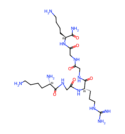 N=C(N)NCCC[C@H](NC(=O)CNC(=O)[C@@H](N)CCCCN)C(=O)NCC(=O)NCC(=O)N[C@@H](CCCCN)C(N)=O